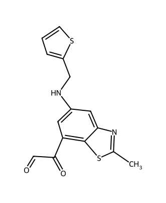 Cc1nc2cc(NCc3cccs3)cc(C(=O)C=O)c2s1